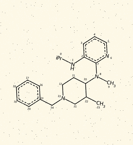 CC(C)Nc1cccnc1N(C)C1CCN(Cc2ccccc2)CC1C